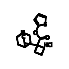 Cl.O=C(Oc1cccs1)C1(C2CN3CCC2CC3)CCC1